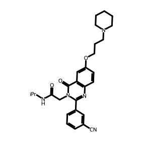 CC(C)NC(=O)Cn1c(-c2cccc(C#N)c2)nc2ccc(OCCCN3CCCCC3)cc2c1=O